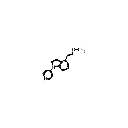 CO/C=C/c1cccc2c1ccn2-c1ccncc1